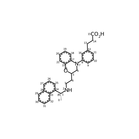 C[C@@H](NCCC1CN(c2cccc(CCC(=O)O)c2)c2ccccc2O1)c1cccc2ccccc12